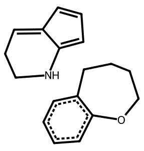 C1=CC2=CCCNC2=C1.c1ccc2c(c1)CCCCO2